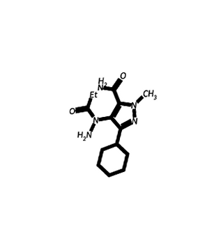 CCC(=O)N(N)c1c(C2CCCCC2)nn(C)c1C(N)=O